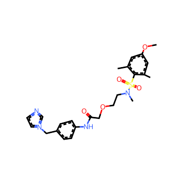 COc1cc(C)c(S(=O)(=O)N(C)CCOCC(=O)Nc2ccc(Cn3ccnc3)cc2)c(C)c1